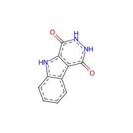 O=c1[nH][nH]c(=O)c2c1[nH]c1ccccc12